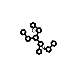 c1ccc(-c2cccc(-c3cc(-c4ccc5c(c4)c4ccccc4n5-c4cccc(-c5ccccc5)c4)cc(-c4cccc5c4oc4ccccc45)c3)c2)cc1